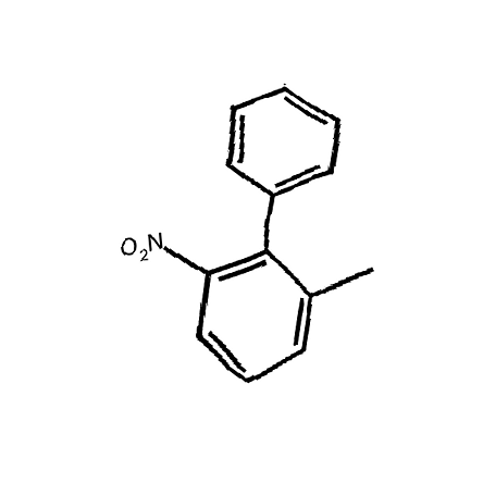 Cc1cccc([N+](=O)[O-])c1-c1cc[c]cc1